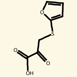 O=C(O)C(=O)CSc1ccco1